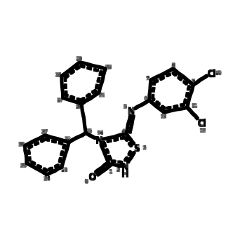 O=c1[nH]sc(=Nc2ccc(Cl)c(Cl)c2)n1C(c1ccccc1)c1ccccc1